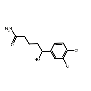 NC(=O)CCCC(O)c1ccc(Cl)c(Cl)c1